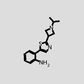 CC(C)N1CC(c2ncc(-c3ccccc3N)s2)C1